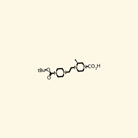 C[C@H]1CN(C(=O)O)CCN1CCN1CCN(C(=O)OC(C)(C)C)CC1